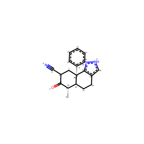 C[C@@H]1C(=O)C(C#N)C[C@@]2(c3ccccc3)c3n[nH]cc3CCC12